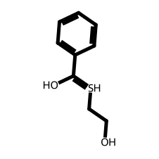 OCC[SH]=C(O)c1ccccc1